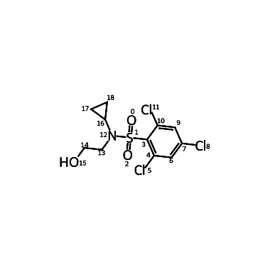 O=S(=O)(c1c(Cl)cc(Cl)cc1Cl)N(CCO)C1CC1